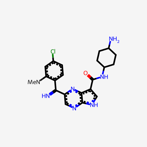 CNc1cc(Cl)ccc1C(=N)c1cnc2[nH]cc(C(=O)NC3CCC(N)CC3)c2n1